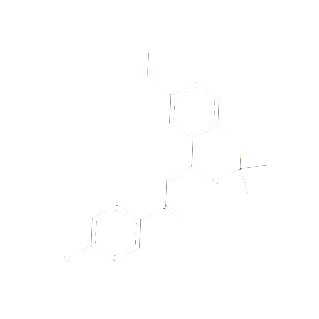 COc1ccc2c(c1)/C(=C/C(=O)c1ccc(N)cc1)NC(C)(C)S2